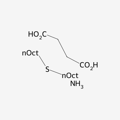 CCCCCCCCSCCCCCCCC.N.O=C(O)CCC(=O)O